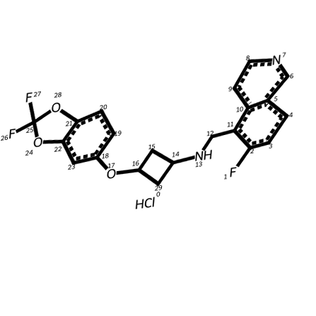 Cl.Fc1ccc2cnccc2c1CNC1CC(Oc2ccc3c(c2)OC(F)(F)O3)C1